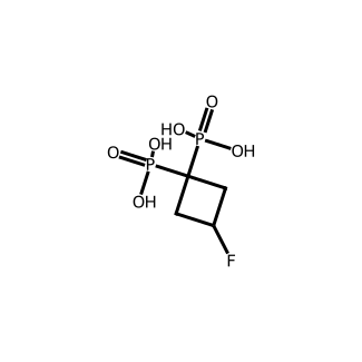 O=P(O)(O)C1(P(=O)(O)O)CC(F)C1